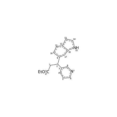 CCOC(=O)CC(c1cccnc1)c1ccc2cc[nH]c2c1